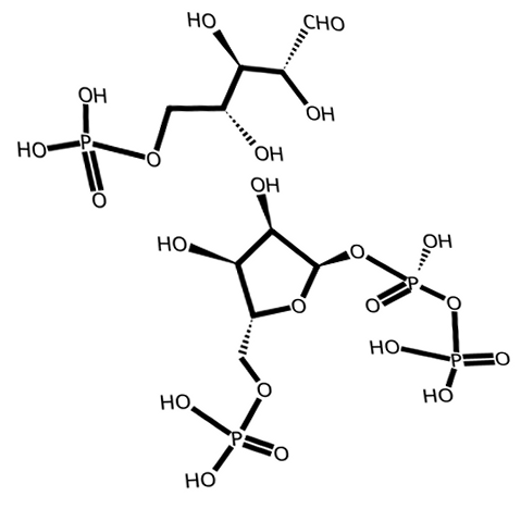 O=C[C@H](O)[C@H](O)[C@H](O)COP(=O)(O)O.O=P(O)(O)OC[C@H]1O[C@H](O[P@@](=O)(O)OP(=O)(O)O)[C@H](O)[C@@H]1O